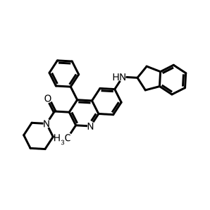 Cc1nc2ccc(NC3Cc4ccccc4C3)cc2c(-c2ccccc2)c1C(=O)N1CCCCC1